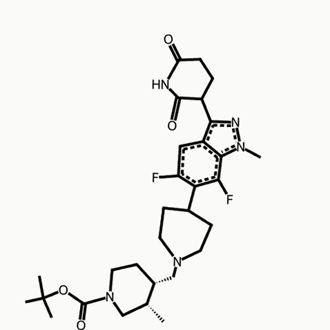 C[C@@H]1CN(C(=O)OC(C)(C)C)CC[C@@H]1CN1CCC(c2c(F)cc3c(C4CCC(=O)NC4=O)nn(C)c3c2F)CC1